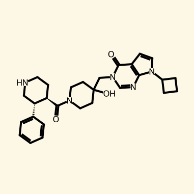 O=C([C@@H]1CCNC[C@H]1c1ccccc1)N1CCC(O)(Cn2cnc3c(ccn3C3CCC3)c2=O)CC1